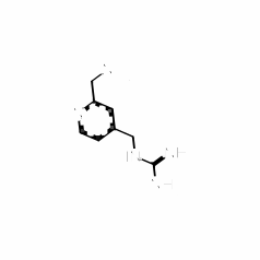 N=C(N)NCc1ccnc(CN)c1